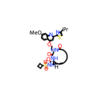 COc1ccc2c(OCC[C@@H]3NC(=O)CCCCC/C=C\[C@@H]4C[C@@]4(C(=O)NS(=O)(=O)C4CCC4)NC3=O)cc(-c3nc(C(C)C)cs3)nc2c1